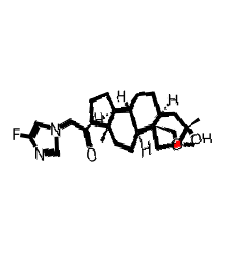 COC[C@]12CC[C@@](C)(O)C[C@@H]1CC[C@H]1[C@@H]3CC[C@H](C(=O)Cn4cnc(F)c4)[C@@]3(C)CC[C@@H]12